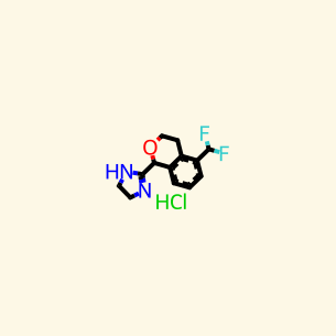 Cl.FC(F)c1cccc2c1CCOC2C1=NCCN1